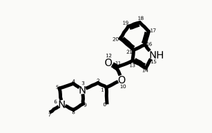 CC(CN1CCN(C)CC1)OC(=O)c1c[nH]c2ccccc12